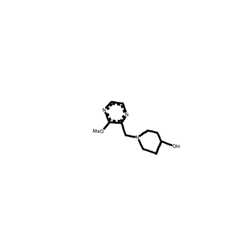 COc1nccnc1CN1CCC(O)CC1